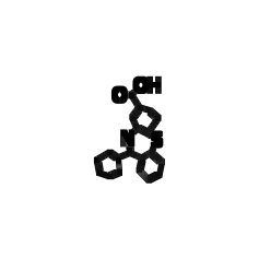 O=C(O)c1ccc2c(c1)N=C(c1ccccc1)c1ccccc1S2